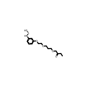 CCC(=O)COCCCOCCOc1cccc(NSS)c1